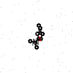 C1=c2c(c3c(-c4ccccc4)cccc3n2-c2ccc3ccccc3c2)=C(c2cccc(-c3nc(-c4ccccc4)nc(-c4ccccc4)n3)c2)CC1